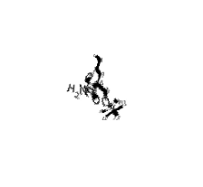 C=CCC[C@@H](CO[Si](C)(C)C(C)(C)C)S(N)(=O)=O